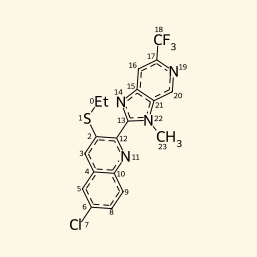 CCSc1cc2cc(Cl)ccc2nc1-c1nc2cc(C(F)(F)F)ncc2n1C